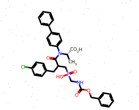 C[C@@H](C(=O)O)N(C(=O)C(Cc1ccc(Cl)cc1)CP(=O)(O)CNC(=O)OCc1ccccc1)c1ccc(-c2ccccc2)cc1